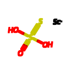 O=S(O)(O)=S.[Sc]